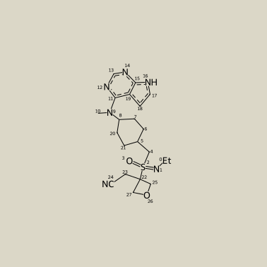 CCN=S(=O)(CC1CCC(N(C)c2ncnc3[nH]ccc23)CC1)C1(CC#N)COC1